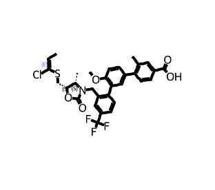 C/C=C(/Cl)SC[C@H]1OC(=O)N(Cc2cc(C(F)(F)F)ccc2-c2cc(-c3ccc(C(=O)O)cc3C)ccc2OC)[C@H]1C